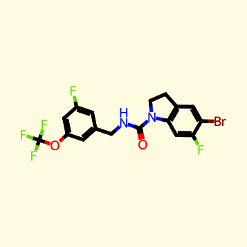 O=C(NCc1cc(F)cc(OC(F)(F)F)c1)N1CCc2cc(Br)c(F)cc21